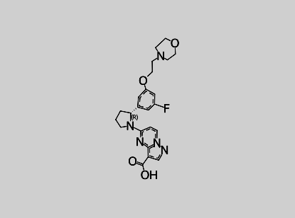 O=C(O)c1cnn2ccc(N3CCC[C@@H]3c3cc(F)cc(OCCN4CCOCC4)c3)nc12